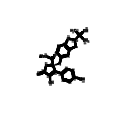 COC(=O)[C@]1(Cc2ccc3c(c2)C[C@H](C(C)(C)O)O3)OC(=O)C(O)=C1c1ccc(O)cc1